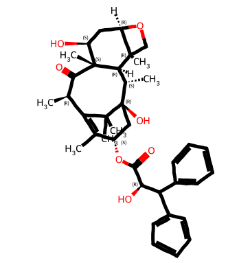 CC1=C2[C@@H](C)C(=O)[C@@]3(C)[C@H]([C@H](C)[C@](O)(C[C@@H]1OC(=O)[C@H](O)C(c1ccccc1)c1ccccc1)C2(C)C)[C@]1(C)CO[C@@H]1C[C@@H]3O